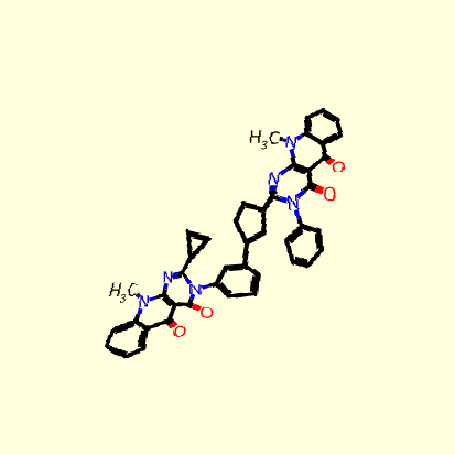 Cn1c2ccccc2c(=O)c2c(=O)n(-c3cccc(C4CCC(c5nc6c(c(=O)c7ccccc7n6C)c(=O)n5-c5ccccc5)C4)c3)c(C3CC3)nc21